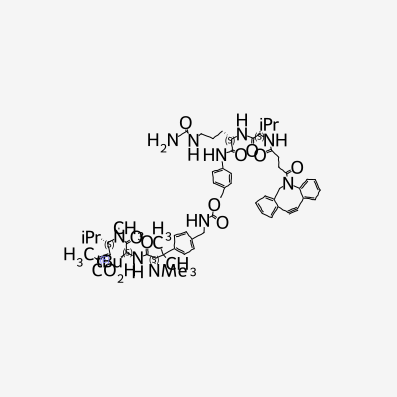 CN[C@H](C(=O)N[C@H](C(=O)N(C)[C@H](/C=C(\C)C(=O)O)C(C)C)C(C)(C)C)C(C)(C)c1ccc(CNC(=O)OCc2ccc(NC(=O)[C@H](CCCNC(N)=O)NC(=O)[C@@H](NC(=O)CCC(=O)N3Cc4ccccc4C#Cc4ccccc43)C(C)C)cc2)cc1